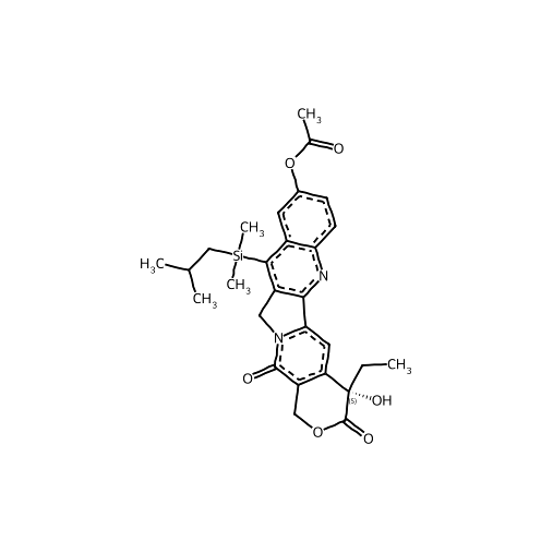 CC[C@@]1(O)C(=O)OCc2c1cc1n(c2=O)Cc2c-1nc1ccc(OC(C)=O)cc1c2[Si](C)(C)CC(C)C